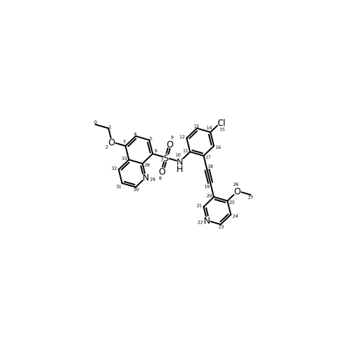 CCOc1ccc(S(=O)(=O)Nc2ccc(Cl)cc2C#Cc2cnccc2OC)c2ncccc12